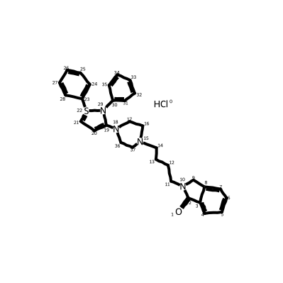 Cl.O=C1c2ccccc2CN1CCCCN1CCN(C2=CC=S(c3ccccc3)N2c2ccccc2)CC1